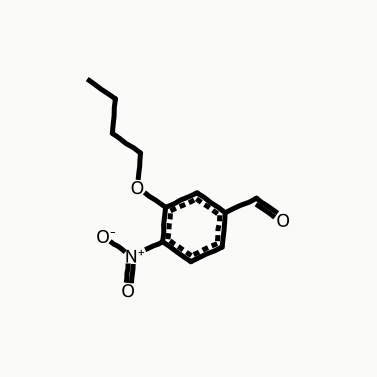 CCCCOc1cc(C=O)ccc1[N+](=O)[O-]